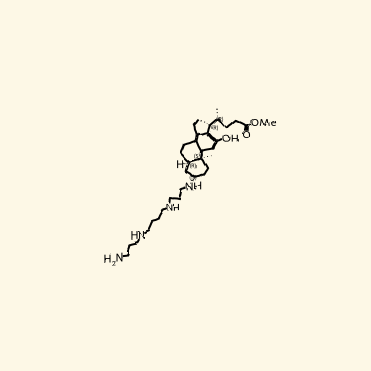 COC(=O)CC[C@@H](C)[C@H]1CCC2C1=C(O)CC1C2CC[C@@H]2C[C@@H](NCCCNCCCCNCCCN)CC[C@]12C